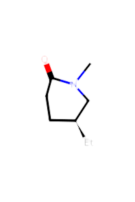 CC[C@H]1CCC(=O)N(C)C1